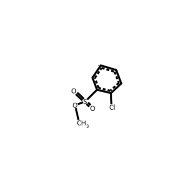 COS(=O)(=O)c1c[c]ccc1Cl